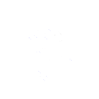 CN1CCC(Oc2cccc(Nc3ccn4ncc(C(=O)Nc5cccc(-c6ncn(C)n6)c5)c4n3)c2)CC1